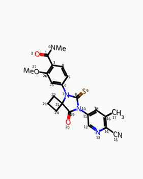 CNC(=O)c1ccc(N2C(=S)N(c3cnc(C#N)c(C)c3)C(=O)C23CCC3)cc1OC